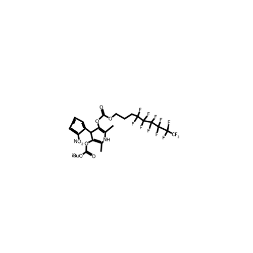 CC1=C(OC(=O)OCCCC(F)(F)C(F)(F)C(F)(F)C(F)(F)C(F)(F)C(F)(F)F)C(c2ccccc2[N+](=O)[O-])C(OC(=O)OCC(C)C)=C(C)N1